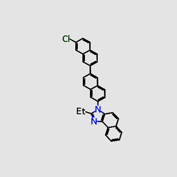 CCc1nc2c3ccccc3ccc2n1-c1ccc2cc(-c3ccc4ccc(Cl)cc4c3)ccc2c1